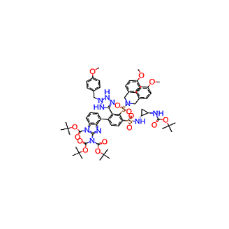 COc1ccc(CN2NN=C(c3c(-c4cccc5c4nc(N(C(=O)OC(C)(C)C)C(=O)OC(C)(C)C)n5C(=O)OC(C)(C)C)ccc(S(=O)(=O)N[C@@H]4C[C@H]4NC(=O)OC(C)(C)C)c3S(=O)(=O)N(Cc3ccc(OC)cc3)Cc3ccc(OC)cc3)N2)cc1